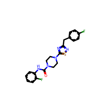 O=C(Nc1ccccc1F)N1CCN(c2nc(Cc3ccc(F)cc3)ns2)CC1